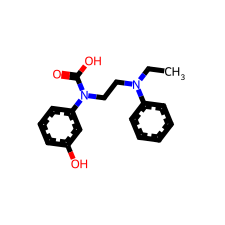 CCN(CCN(C(=O)O)c1cccc(O)c1)c1ccccc1